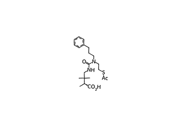 CC(=O)SCCN(CCCc1ccccc1)C(=O)NCC(C)(C)[C@H](C)C(=O)O